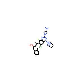 C/C(=C\C(O)=C/c1ccccc1C)c1c(Cl)cc2c(N3CC4CCC(C3)N4)nc(N3CC(N(C)C)C3)nc2c1F